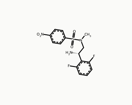 CN(C[C@@H](N)c1c(F)cccc1F)S(=O)(=O)c1ccc([N+](=O)[O-])cc1